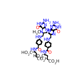 CN1c2c(nc(N)[nH]c2=O)NCC1CNc1ccc(C(=O)N[C@@H](CCC(=O)O)C(=O)O)cc1.Nc1nc2ncc(CNc3ccc(C(=O)N[C@@H](CCC(=O)O)C(=O)O)cc3)nc2c(=O)[nH]1